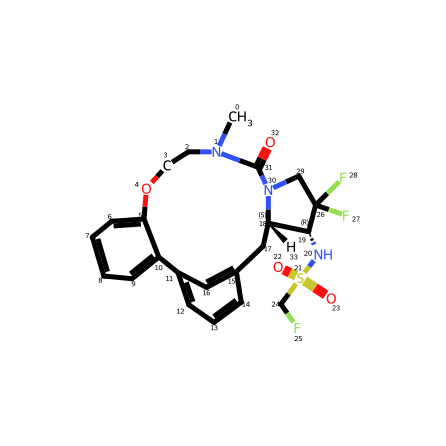 CN1CCOc2ccccc2-c2cccc(c2)C[C@H]2[C@@H](NS(=O)(=O)CF)C(F)(F)CN2C1=O